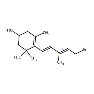 CC1=C(/C=C/C(C)=C/CBr)C(C)(C)CC(O)C1